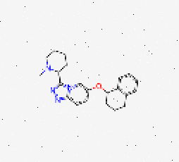 CN1CCCC[C@H]1c1nnc2ccc(OC3CCCc4ccccc43)cn12